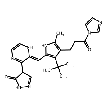 Cc1[nH]c(C=C2NC=CN=C2C2C=NNC2=O)c(C(C)(C)C)c1CCC(=O)n1ccnc1